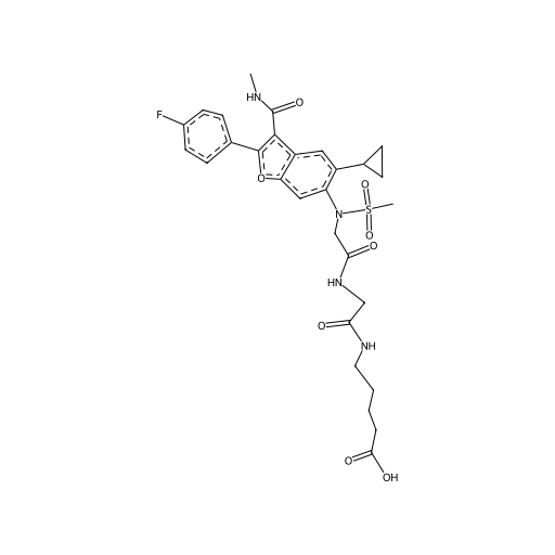 CNC(=O)c1c(-c2ccc(F)cc2)oc2cc(N(CC(=O)NCC(=O)NCCCCC(=O)O)S(C)(=O)=O)c(C3CC3)cc12